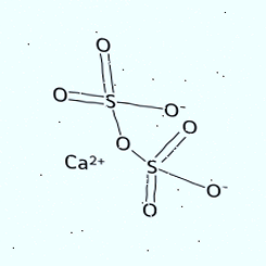 O=S(=O)([O-])OS(=O)(=O)[O-].[Ca+2]